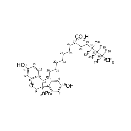 CCCC1(c2ccc(O)cc2)COc2cc(O)ccc2C1CCCCCCCCC(CCC(F)(F)C(F)(F)C(F)(F)C(F)(F)F)C(=O)O